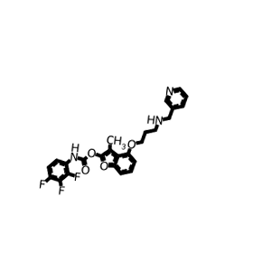 Cc1c(OC(=O)Nc2ccc(F)c(F)c2F)oc2cccc(OCCCNCc3cccnc3)c12